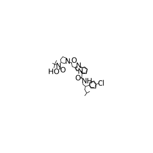 CC(C)CC(CNC(=O)c1cccc2nc(CC(=O)N3CCC[C@@H](N(C(=O)O)C(C)(C)C)C3)cn12)c1ccc(Cl)cc1